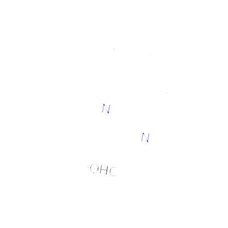 Cc1cccc(N(C)[C]=O)n1